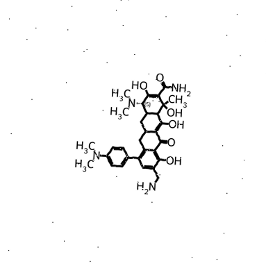 CN(C)c1ccc(-c2cc(CN)c(O)c3c2CC2CC4C(C(O)=C2C3=O)C(C)(O)C(C(N)=O)=C(O)[C@H]4N(C)C)cc1